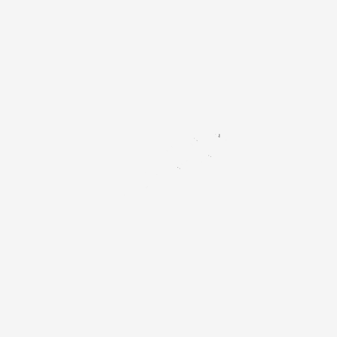 CCCc1nc(N)nc2ccc(-c3cc4cc(C)ccc4s3)nc12